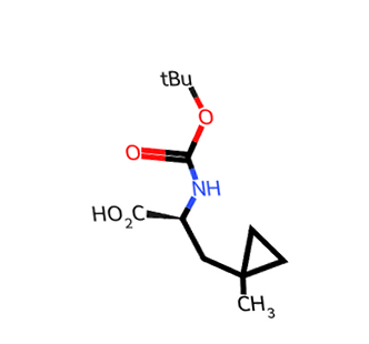 CC1(C[C@H](NC(=O)OC(C)(C)C)C(=O)O)CC1